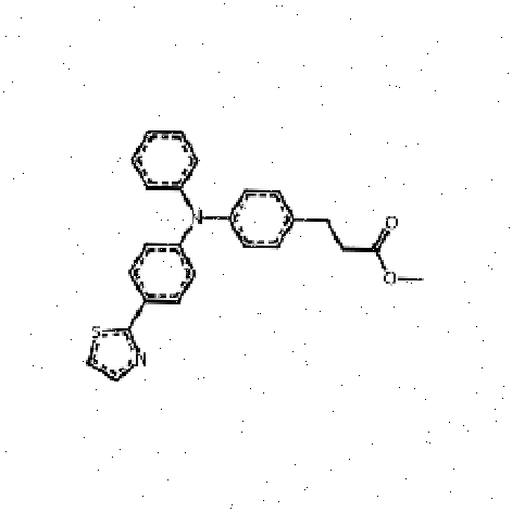 COC(=O)CCc1ccc(N(c2ccccc2)c2ccc(-c3nccs3)cc2)cc1